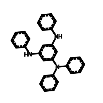 c1ccc(Nc2cc(Nc3ccccc3)cc(N(c3ccccc3)c3ccccc3)c2)cc1